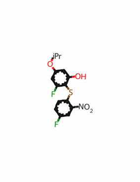 CC(C)Oc1cc(O)c(Sc2ccc(F)cc2[N+](=O)[O-])c(F)c1